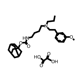 CCCN(CCCCNC(=O)OC12CC3CC(CC(C3)C1)C2)CCc1cccc(OC)c1.O=C(O)C(=O)O